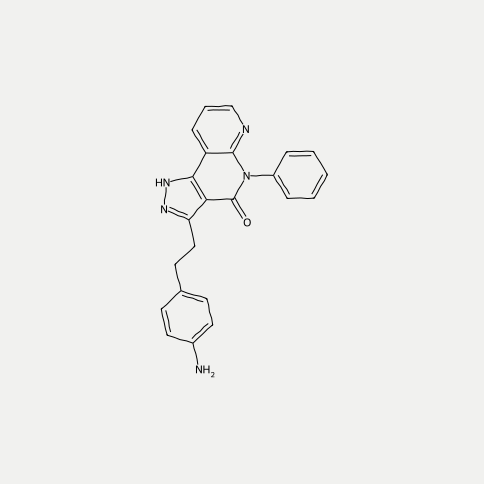 Nc1ccc(CCc2n[nH]c3c2c(=O)n(-c2ccccc2)c2ncccc32)cc1